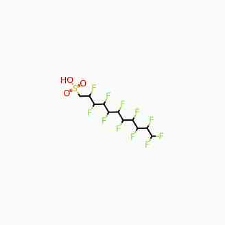 O=S(=O)(O)CC(F)C(F)C(F)C(F)C(F)C(F)C(F)C(F)C(F)C(F)F